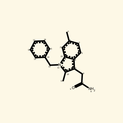 Cc1ccc2c(CC(N)=O)c(C)n(Cc3ccccc3)c2c1